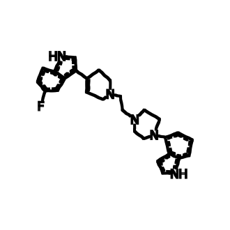 Fc1ccc2[nH]cc(C3=CCN(CCN4CCN(c5cccc6[nH]ccc56)CC4)CC3)c2c1